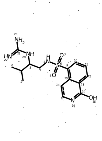 CC(C)C(CNS(=O)(=O)c1cccc2c(O)nccc12)NC(=N)N